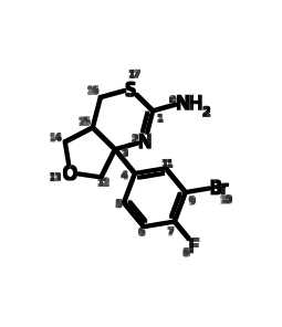 NC1=NC2(c3ccc(F)c(Br)c3)COCC2CS1